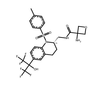 Cc1ccc(S(=O)(=O)N2c3ccc(C(O)(C(F)(F)F)C(F)(F)F)cc3CC[C@H]2CNC(=O)C2(N)COC2)cc1